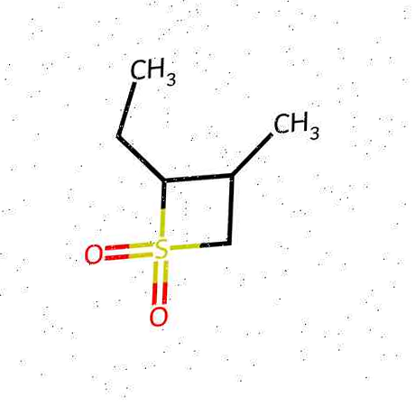 CCC1C(C)CS1(=O)=O